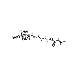 CC=CC(=O)OCCCCOCCC[Si](OC)(OC)OC